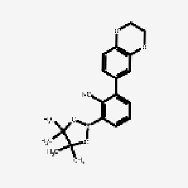 CC1(C)OB(c2cccc(-c3ccc4c(c3)OCCO4)c2C#N)OC1(C)C